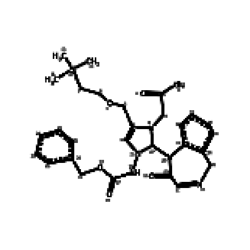 CC(C)(C)C(=O)CN1C(COCC[Si](C)(C)C)=CN(NC(=O)OCc2ccccc2)C1N1C(=O)C=NCc2ccccc21